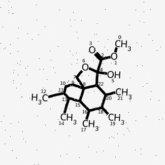 COC(=O)C1(O)OCC23CCC(C)C(C)C2C(C)C(C)C(C)C13